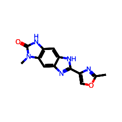 Cc1nc(-c2nc3cc4c(cc3[nH]2)[nH]c(=O)n4C)co1